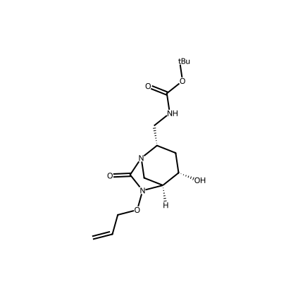 C=CCON1C(=O)N2C[C@H]1[C@@H](O)C[C@H]2CNC(=O)OC(C)(C)C